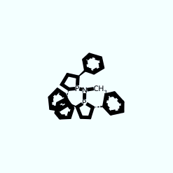 CN(P1[C@H](c2ccccc2)CC[C@H]1c1ccccc1)P1[C@H](c2ccccc2)CC[C@H]1c1ccccc1